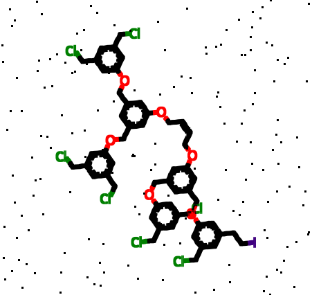 ClCc1cc(CCl)cc(OCc2cc(COc3cc(CCl)cc(CCl)c3)cc(OC/C=C\COc3cc(COc4cc(CCl)cc(CCl)c4)cc(COc4cc(CCl)cc(CCI)c4)c3)c2)c1